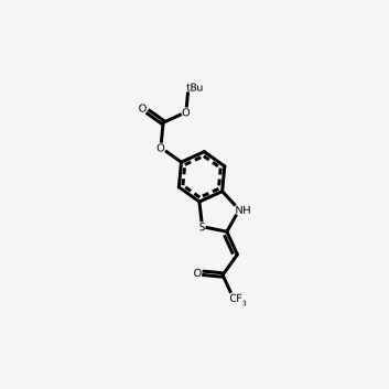 CC(C)(C)OC(=O)Oc1ccc2c(c1)SC(=CC(=O)C(F)(F)F)N2